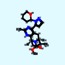 Cc1nc(-c2ccnn2C2CCCCO2)c2c(n1)[C@@H]1CCC(C)[C@H](C2)N1C(=O)OC(C)(C)C